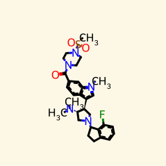 CN(C)[C@H]1CN(C2CCc3cccc(F)c32)C[C@@H]1c1cn(C)c2cc(C(=O)N3CCN(S(C)(=O)=O)CC3)ccc12